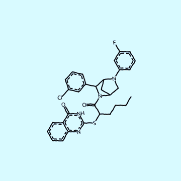 CCCCC(Sc1nc2ccccc2c(=O)[nH]1)C(=O)N1C2CC(C1c1cccc(Cl)c1)N(c1cccc(F)c1)C2